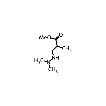 COC(=O)C(C)CNN(C)C